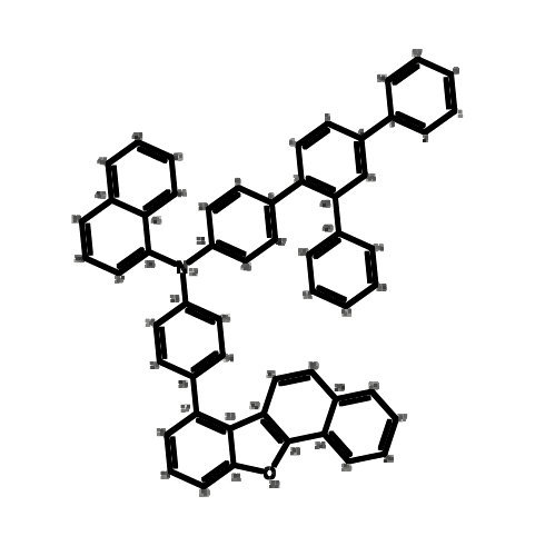 c1ccc(-c2ccc(-c3ccc(N(c4ccc(-c5cccc6oc7c8ccccc8ccc7c56)cc4)c4cccc5ccccc45)cc3)c(-c3ccccc3)c2)cc1